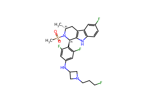 C[C@@H]1Cc2c([nH]c3ccc(F)cc23)[C@@H](c2c(F)cc(NC3CN(CCCF)C3)cc2F)N1S(C)(=O)=O